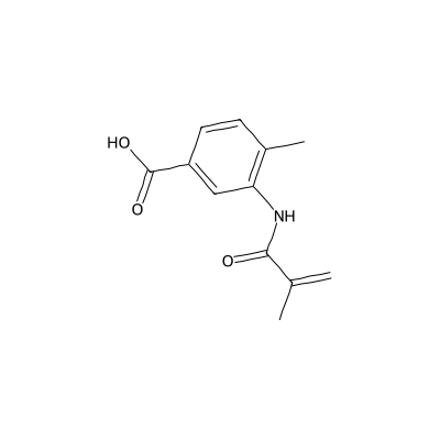 C=C(C)C(=O)Nc1cc(C(=O)O)ccc1C